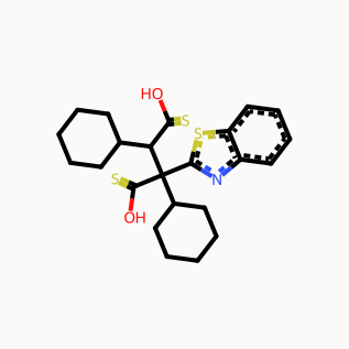 OC(=S)C(C1CCCCC1)C(C(O)=S)(c1nc2ccccc2s1)C1CCCCC1